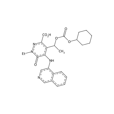 CCn1nc(C(=O)O)c(C(C)OC(=O)OC2CCCCC2)c(Nc2cncc3ccccc23)c1=O